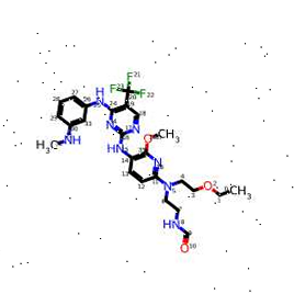 CCOCCN(CCNC=O)c1ccc(Nc2ncc(C(F)(F)F)c(Nc3cccc(NC)c3)n2)c(OC)n1